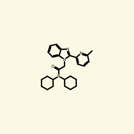 Cc1cccc(-c2nc3ccccc3n2CC(=O)N(C2CCCCC2)C2CCCCC2)n1